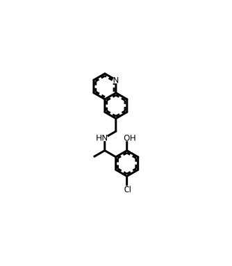 CC(NCc1ccc2ncccc2c1)c1cc(Cl)ccc1O